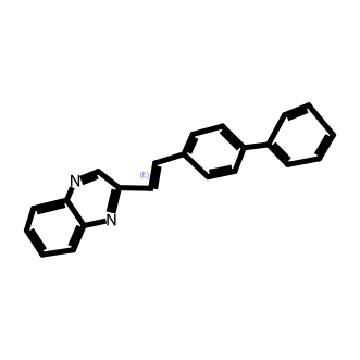 C(=C\c1cnc2ccccc2n1)/c1ccc(-c2ccccc2)cc1